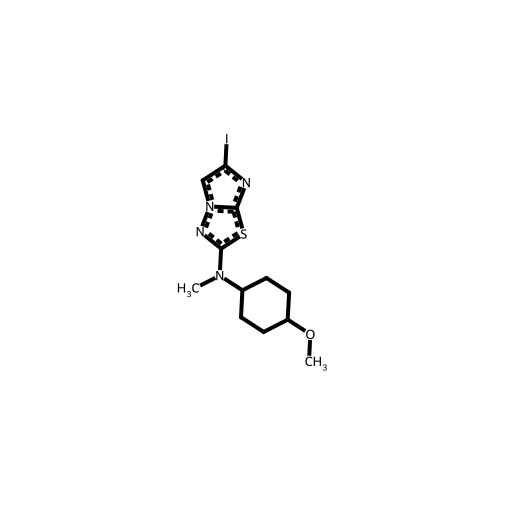 COC1CCC(N(C)c2nn3cc(I)nc3s2)CC1